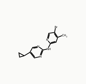 Cc1cc(Nc2ncc(C3CC3)cn2)ncc1Br